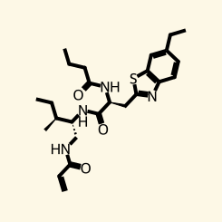 C=CC(=O)NC[C@@H](NC(=O)[C@H](Cc1nc2ccc(CC)cc2s1)NC(=O)CCC)[C@@H](C)CC